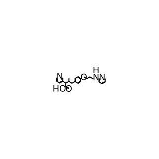 CC(Cc1ccc(OCCCNc2ccccn2)cc1)C(C(=O)O)c1cccnc1